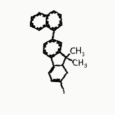 CC1(C)c2cc(-c3cccc4ccccc34)ccc2C2=CC=C(I)CC21